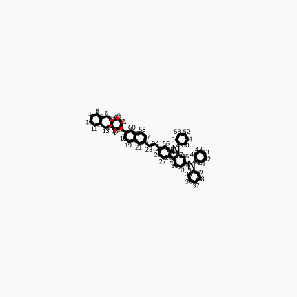 C1=CC2=C(CC1)C1c3ccccc3C2c2cc(-c3ccc4cc(/C=C/c5ccc6c7ccc(N(c8ccccc8)c8ccccc8)cc7n(-c7ccccc7)c6c5)ccc4c3)ccc21